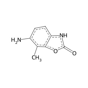 Cc1c(N)ccc2[nH]c(=O)oc12